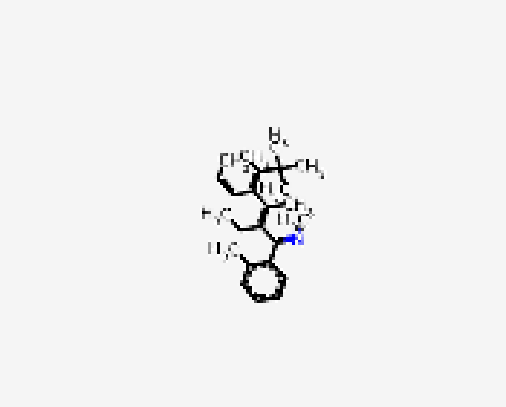 C\C=C/C(=C(\C)C(C)(C)C)C(/C)=C(CC)/C(=N\C)c1ccccc1C